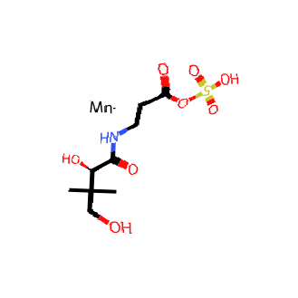 CC(C)(CO)[C@@H](O)C(=O)NCCC(=O)OS(=O)(=O)O.[Mn]